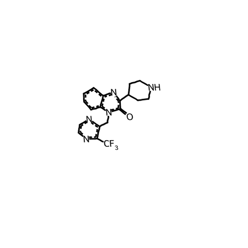 O=c1c(C2CCNCC2)nc2ccccc2n1Cc1nccnc1C(F)(F)F